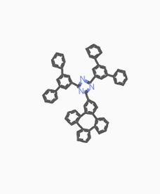 c1ccc(-c2cc(-c3ccccc3)cc(-c3nc(-c4cc(-c5ccccc5)cc(-c5ccccc5)c4)nc(-c4ccc5c(c4)-c4ccccc4-c4ccccc4-c4ccccc4-5)n3)c2)cc1